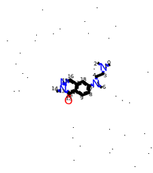 CN(C)CCN(C)c1ccc2c(=O)n(C)ncc2c1